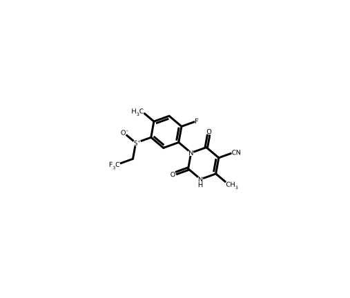 Cc1cc(F)c(-n2c(=O)[nH]c(C)c(C#N)c2=O)cc1[S+]([O-])CC(F)(F)F